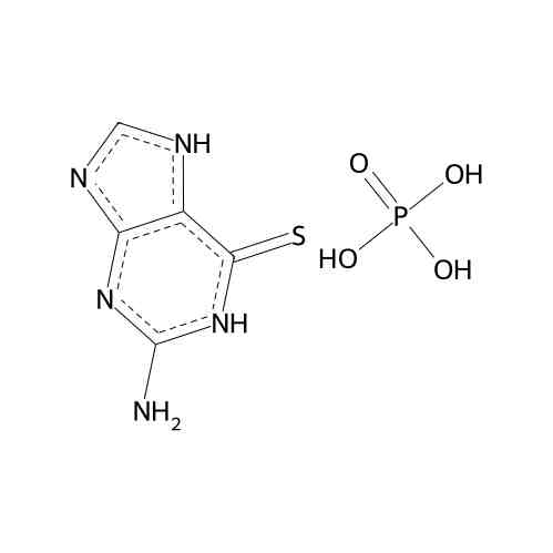 Nc1nc2nc[nH]c2c(=S)[nH]1.O=P(O)(O)O